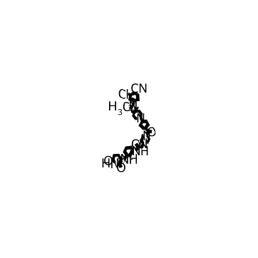 C[C@H]1CC2(CCN(c3ccc(C(=O)N4CCN(CC(=O)Nc5cccc(N[C@@H]6CCC(=O)NC6=O)c5)CC4)cc3)CC2)CN1c1ccc(C#N)c(Cl)c1